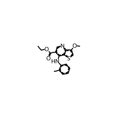 CCOC(=O)c1cnc2c(OC)csc2c1Nc1ccccc1C